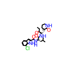 CCC(=O)[C@H](C[C@@H]1CCCNC1=O)NC(=O)[C@H](CC(C)C)NC(=O)c1cc2cccc(Cl)c2[nH]1